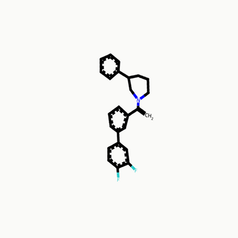 C=C(c1cccc(-c2ccc(F)c(F)c2)c1)N1CCCC(c2ccccc2)C1